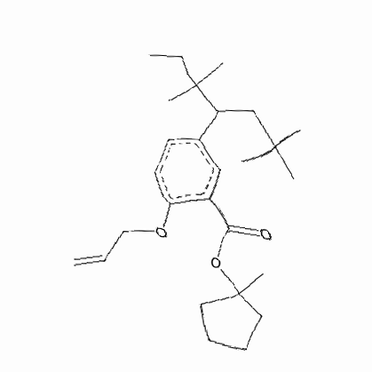 C=CCOc1ccc(C(CC(C)(C)C)C(C)(C)CC)cc1C(=O)OC1(C)CCCC1